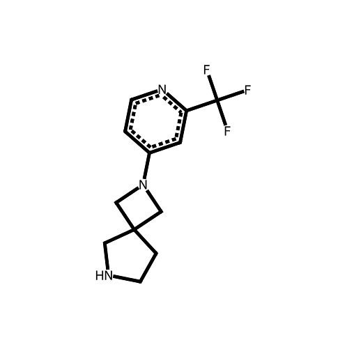 FC(F)(F)c1cc(N2CC3(CCNC3)C2)ccn1